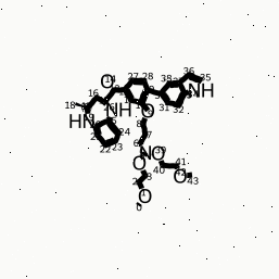 COCCON(CCCOc1cc(C(=O)C2C[C@H](C)Nc3ccccc3N2)ccc1-c1ccc2[nH]ccc2c1)OCCOC